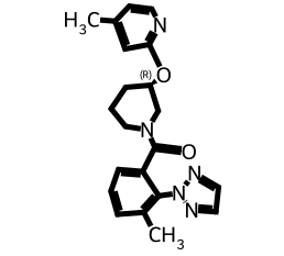 Cc1ccnc(O[C@@H]2CCCN(C(=O)c3cccc(C)c3-n3nccn3)C2)c1